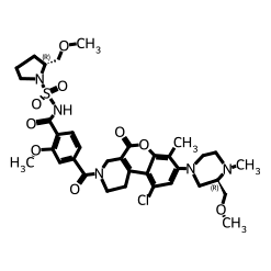 COC[C@H]1CN(c2cc(Cl)c3c4c(c(=O)oc3c2C)CN(C(=O)c2ccc(C(=O)NS(=O)(=O)N3CCC[C@@H]3COC)c(OC)c2)CC4)CCN1C